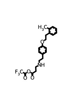 Cc1ccccc1CCOc1ccc(CCNCCC(=O)OC(=O)C(F)(F)F)cc1